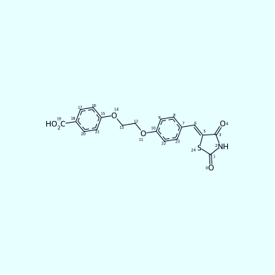 O=C1NC(=O)C(=Cc2ccc(OCCOc3ccc(C(=O)O)cc3)cc2)S1